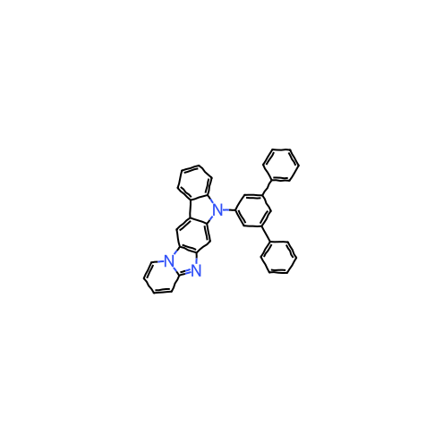 c1ccc(-c2cc(-c3ccccc3)cc(-n3c4ccccc4c4cc5c(cc43)nc3ccccn35)c2)cc1